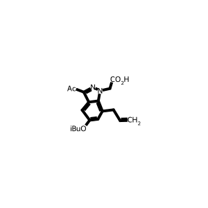 C=CCc1cc(OCC(C)C)cc2c(C(C)=O)nn(CC(=O)O)c12